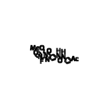 COCCn1c(C(F)N2CCOCC2)nc2ccc(NC(=O)Nc3cccc(C(C)=O)c3)cc2c1=O